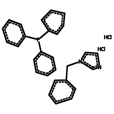 Cl.Cl.c1ccc(Cn2ccnc2)cc1.c1ccc(P(c2ccccc2)c2ccccc2)cc1